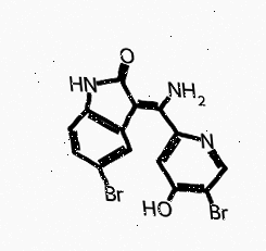 N/C(=C1\C(=O)Nc2ccc(Br)cc21)c1cc(O)c(Br)cn1